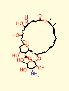 C[C@H]1/C=C/C=C/C=C/C=C/C(O[C@@H]2O[C@H](C)[C@@H](O)[C@H](N)[C@H]2O)C[C@@H]2O[C@](O)(CC(O)CC(O)[C@H](O)/C=C/C(=O)O[C@@H]1C)C[C@H](O)[C@H]2C(=O)O